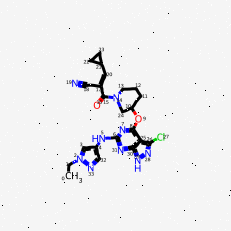 CCn1cc(Nc2nc(OC3CCCN(C(=O)/C(C#N)=C/C4CC4)C3)c3c(Cl)n[nH]c3n2)cn1